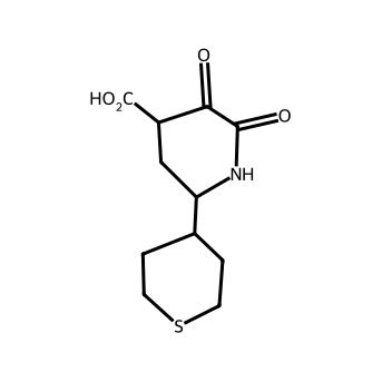 O=C1NC(C2CCSCC2)CC(C(=O)O)C1=O